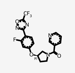 O=C(c1cccnc1)N1CC[C@@H](Oc2ccc(-c3noc(C(F)(F)F)n3)c(F)c2)C1